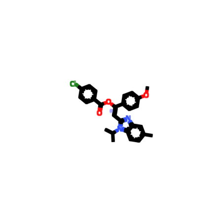 COc1ccc(/C(=C\c2nc3cc(C)ccc3n2C(C)C)OC(=O)c2ccc(Cl)cc2)cc1